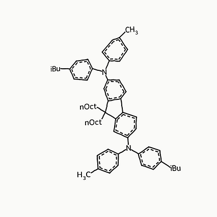 CCCCCCCCC1(CCCCCCCC)c2cc(N(c3ccc(C)cc3)c3ccc(C(C)CC)cc3)ccc2-c2ccc(N(c3ccc(C)cc3)c3ccc(C(C)CC)cc3)cc21